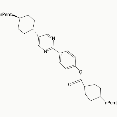 CCCCCC1CCC(C(=O)Oc2ccc(-c3ncc([C@H]4CC[C@H](CCCCC)CC4)cn3)cc2)CC1